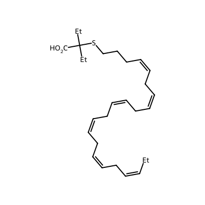 CC/C=C\C/C=C\C/C=C\C/C=C\C/C=C\C/C=C\CCCSC(CC)(CC)C(=O)O